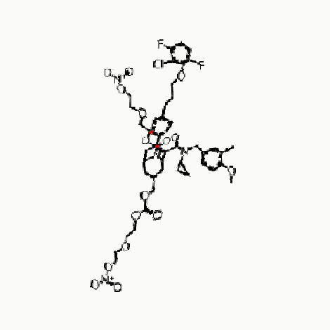 COc1ccc(CN(C(=O)C2=C(c3ccc(CCCOc4c(F)ccc(F)c4Cl)cc3)CC3CC(COC(=O)OCCOCCO[N+](=O)[O-])CC2N3C(=O)OCCOCCO[N+](=O)[O-])C2CC2)cc1C